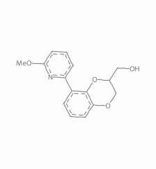 COc1cccc(-c2cccc3c2OC(CO)CO3)n1